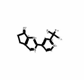 O=C1CCc2cnc(-c3ccnc(C(F)(F)F)c3)nc21